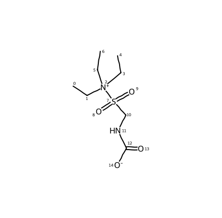 CC[N+](CC)(CC)S(=O)(=O)CNC(=O)[O-]